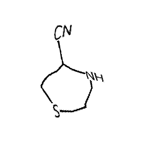 N#CC1CSCN1